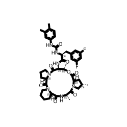 Cc1ccc(NC(=O)N[C@@H](Cc2cc(F)cc(F)c2)C(=O)N[C@@H]2C(=O)N3CCC[C@H]3C(=O)N3CCCC[C@H]3C(=O)N[C@@H](C)C(=O)N3C[C@@H](C)C[C@H]3C(=O)O[C@H]2C)cc1C